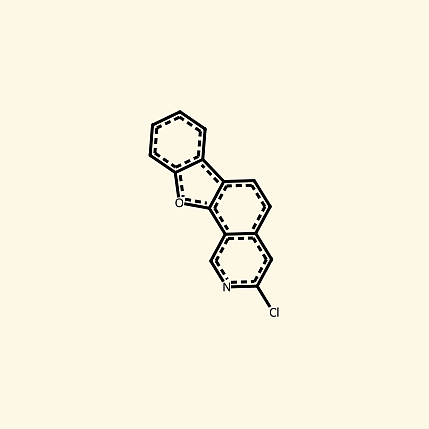 Clc1cc2ccc3c4ccccc4oc3c2cn1